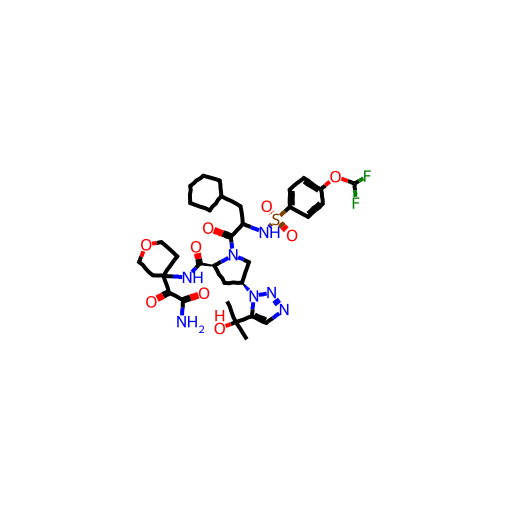 CC(C)(O)c1cnnn1[C@H]1C[C@@H](C(=O)NC2(C(=O)C(N)=O)CCOCC2)N(C(=O)C(CC2CCCCC2)NS(=O)(=O)c2ccc(OC(F)F)cc2)C1